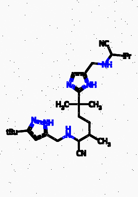 CC(C)C(C#N)NCc1cnc(C(C)(C)CCC(C)C(C#N)NCc2cc(C(C)(C)C)n[nH]2)[nH]1